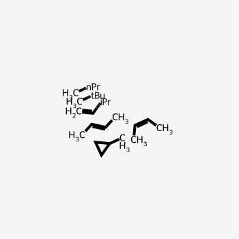 C/C=C/C.C/C=C\C.C=CC(C)C.CC(C)(C)C.CC1CC1.CCCC